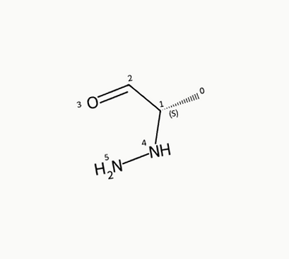 C[C@@H](C=O)NN